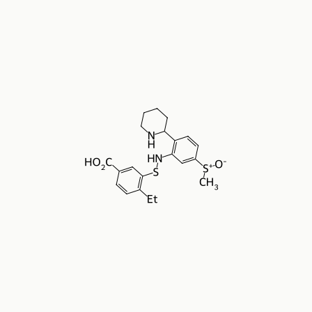 CCc1ccc(C(=O)O)cc1SNc1cc([S+](C)[O-])ccc1C1CCCCN1